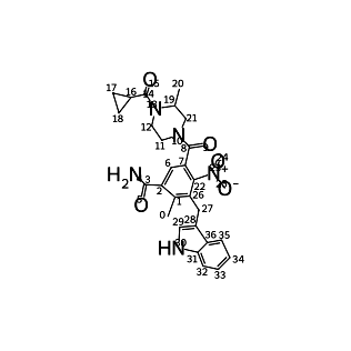 Cc1c(C(N)=O)cc(C(=O)N2CCN(C(=O)C3CC3)C(C)C2)c([N+](=O)[O-])c1Cc1c[nH]c2ccccc12